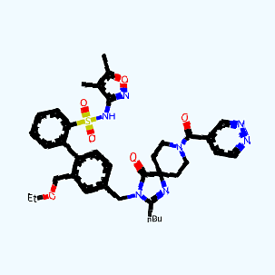 CCCCC1=NC2(CCN(C(=O)c3ccnnc3)CC2)C(=O)N1Cc1ccc(-c2ccccc2S(=O)(=O)Nc2noc(C)c2C)c(COCC)c1